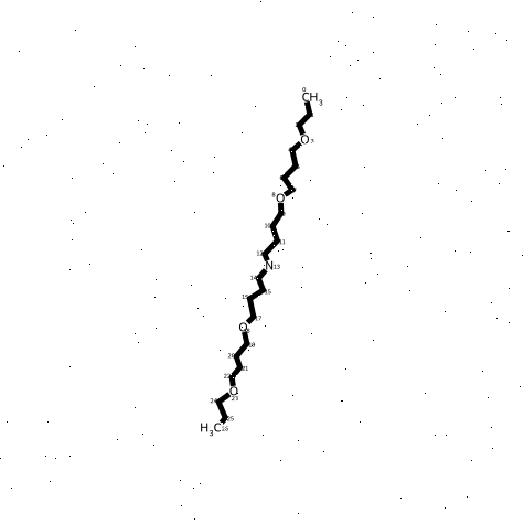 CCCOCCCCOCCCC[N]CCCCOCCCCOCCC